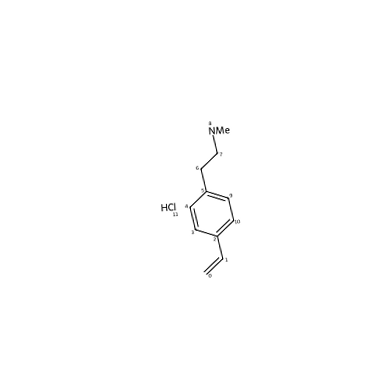 C=Cc1ccc(CCNC)cc1.Cl